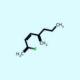 C=C(F)/C=C\C(=C)CCC